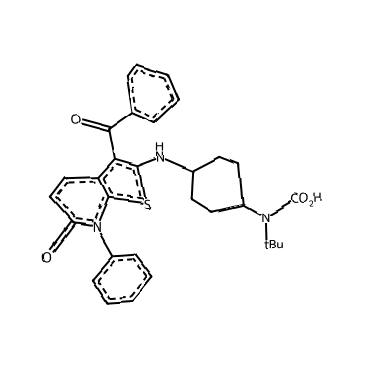 CC(C)(C)N(C(=O)O)C1CCC(Nc2sc3c(ccc(=O)n3-c3ccccc3)c2C(=O)c2ccccc2)CC1